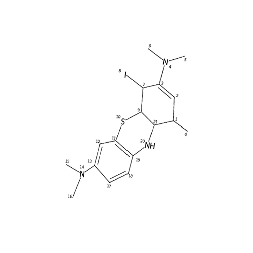 CC1C=C(N(C)C)C(I)C2Sc3cc(N(C)C)ccc3NC12